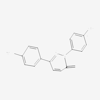 CSc1ccc(-c2ccc(=O)n(-c3ccc(Cl)cc3)n2)cc1